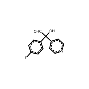 O=CC(O)(c1ccncc1)c1ccc(F)cc1